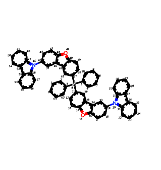 c1ccc([Si](c2ccccc2)(c2ccc3oc4ccc(-n5c6ccccc6c6ccccc65)cc4c3c2)c2ccc3oc4ccc(-n5c6ccccc6c6ccccc65)cc4c3c2)cc1